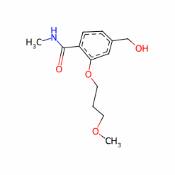 CNC(=O)c1ccc(CO)cc1OCCCOC